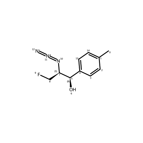 Cc1ccc([C@@H](O)[C@@H](CF)N=[N+]=[N-])cc1